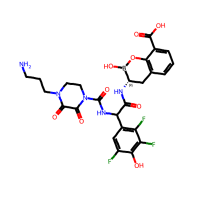 NCCCN1CCN(C(=O)NC(C(=O)N[C@H]2Cc3cccc(C(=O)O)c3OB2O)c2cc(F)c(O)c(F)c2F)C(=O)C1=O